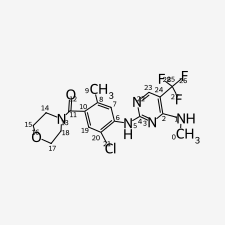 CNc1nc(Nc2cc(C)c(C(=O)N3CCOCC3)cc2Cl)ncc1C(F)(F)F